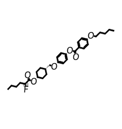 CCCCCOc1ccc(C(=O)Oc2ccc(OC[C@H]3CC[C@H](OC(=O)[C@@H](F)CCCC)CC3)cc2)cc1